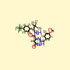 COc1ccc(Cc2nc(C(=O)N[C@@H](c3ccc(C(F)(F)F)cc3)C(C)(C)C)cc(=O)[nH]2)cc1